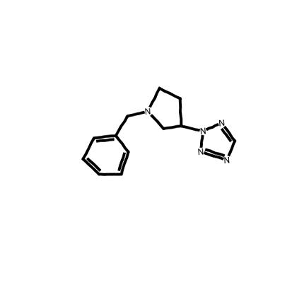 c1ccc(CN2CCC(n3ncnn3)C2)cc1